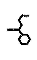 CCCCCCCCCC(=C=O)N1CCOCC1